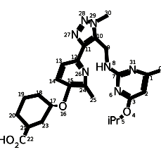 Cc1cc(OC(C)C)nc(NCc2c(-c3ccc(O[C@H]4CCCC(C(=O)O)C4)c(C)n3)nnn2C)n1